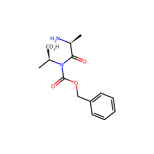 C[C@H](N)C(=O)N(C(=O)OCc1ccccc1)[C@@H](C)C(=O)O